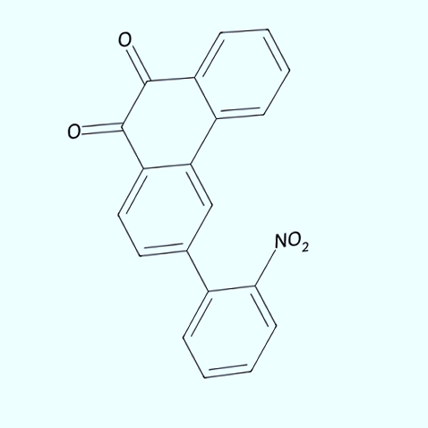 O=C1C(=O)c2ccc(-c3ccccc3[N+](=O)[O-])cc2-c2ccccc21